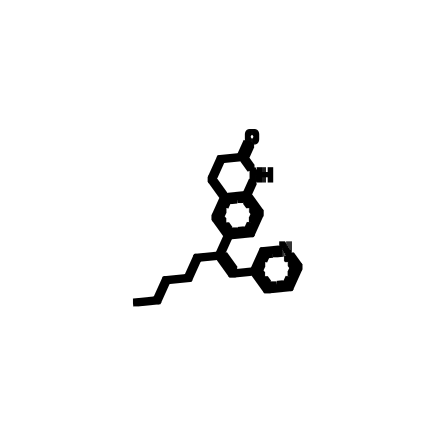 CCCCC/C(=C/c1cccnc1)c1ccc2c(c1)CCC(=O)N2